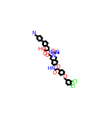 CN(C)C(=O)N1Cc2cc3c(cc2CC1C(=O)NC(Cc1ccc(-c2ccc(C#N)cc2)cc1)C(=O)O)NC(=O)C(c1ccc(OCc2ccc(Cl)c(Cl)c2)cc1)O3